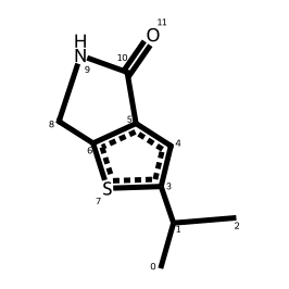 CC(C)c1cc2c(s1)CNC2=O